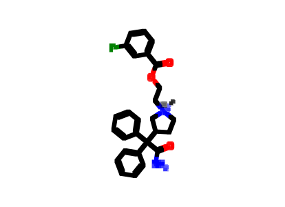 C[N@+]1(CCOC(=O)c2cccc(F)c2)CCC(C(C(N)=O)(c2ccccc2)c2ccccc2)C1